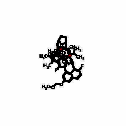 COCOc1cc(-c2nc3c4c(nc(C)c(C)c4c2F)N2CC4CCC(C2CO3)N4C(=O)OC(C)(C)C)c2c(C#C[Si](C(C)C)(C(C)C)C(C)C)c(F)ccc2c1